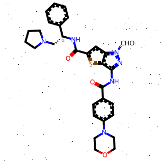 O=[C]n1nc(NC(=O)c2ccc(N3CCOCC3)cc2)c2sc(C(=O)N[C@H](CN3CCCC3)c3ccccc3)cc21